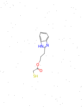 O=C(CS)OCCCc1nc2ccccc2[nH]1